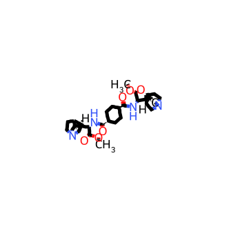 COC(=O)C(NC(=O)[C@H]1CC[C@H](C(=O)NC(C(=O)OC)[C@H]2CN3CCC2CC3)CC1)[C@H]1CN2CCC1CC2